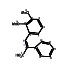 COc1cccc(/C=C(/C(=O)O)c2ccccc2)c1OC